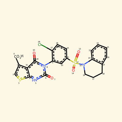 O=C(O)c1csc2[nH]c(=O)n(-c3cc(S(=O)(=O)N4CCCc5ccccc54)ccc3Cl)c(=O)c12